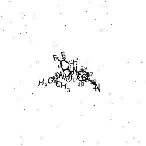 CN(C)SNc1cc(F)c(F)cc1C(=O)NC12CCC(C#N)(CC1)CC2